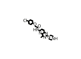 Cc1nc(N2CCNCC2)nc2ccc(NC(=O)COc3ccc(Cl)cc3)nc12